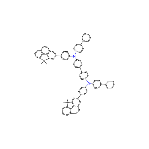 CC1(C)c2cccc3ccc4cc(-c5ccc(N(c6ccc(-c7ccccc7)cc6)c6ccc(-c7ccc(N(c8ccc(-c9ccccc9)cc8)c8ccc(-c9cc%10c%11c(ccc%12cccc(c%12%11)C%10(C)C)c9)cc8)cc7)cc6)cc5)cc1c4c23